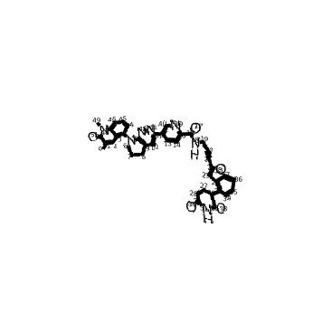 Cc1cc2c(N3CCCc4cc(-c5ccc(C(=O)NCC#Cc6cc7c(C8CCC(=O)NC8=O)cccc7o6)nc5)nnc43)cccc2n(C)c1=O